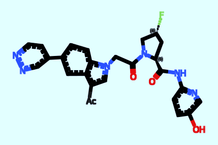 CC(=O)c1cn(CC(=O)N2C[C@H](F)C[C@H]2C(=O)Nc2ccc(O)cn2)c2ccc(-c3ccnnc3)cc12